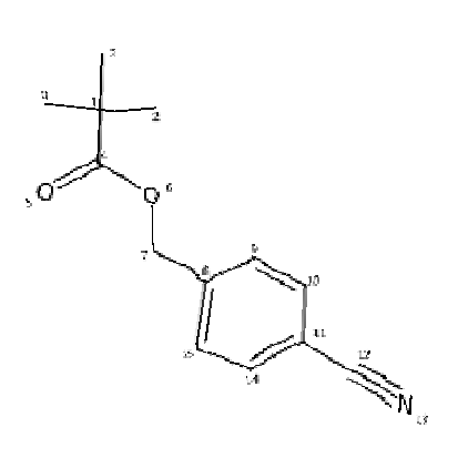 CC(C)(C)C(=O)OCc1ccc(C#N)cc1